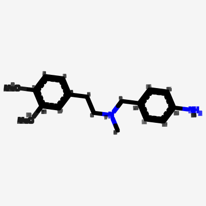 COc1ccc(CCN(C)Cc2ccc(N)cc2)cc1OC